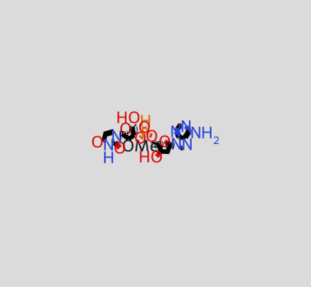 COC1C(O[PH](=O)OC[C@H]2O[C@@H](n3cnc4c(N)ncnc43)CC2O)[C@@H](CO)O[C@H]1n1ccc(=O)[nH]c1=O